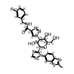 Cc1nc2ccc(-n3ncnc3[C@@H]3O[C@H](CO)[C@H](O)[C@H](n4cc(C(=O)NCc5cccc(F)c5)nn4)[C@H]3O)cc2s1